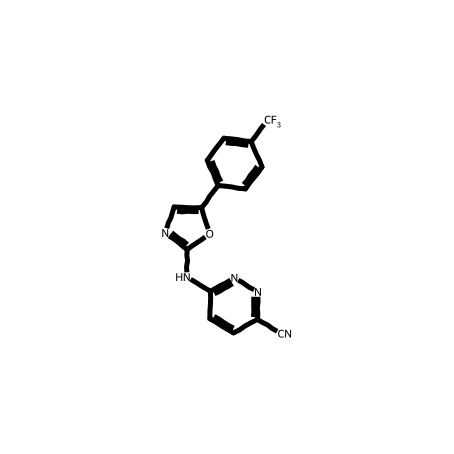 N#Cc1ccc(Nc2ncc(-c3ccc(C(F)(F)F)cc3)o2)nn1